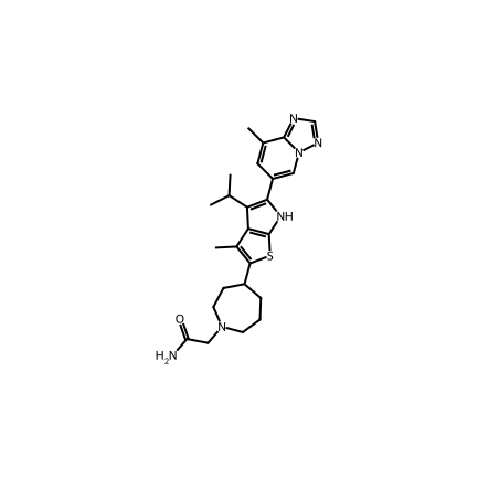 Cc1c(C2CCCN(CC(N)=O)CC2)sc2[nH]c(-c3cc(C)c4ncnn4c3)c(C(C)C)c12